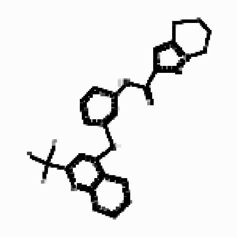 O=C(Nc1cccc(Nc2cc(C(F)(F)F)nc3ccccc23)c1)c1cc2n(n1)CCCC2